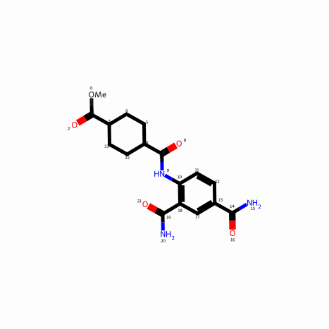 COC(=O)C1CCC(C(=O)Nc2ccc(C(N)=O)cc2C(N)=O)CC1